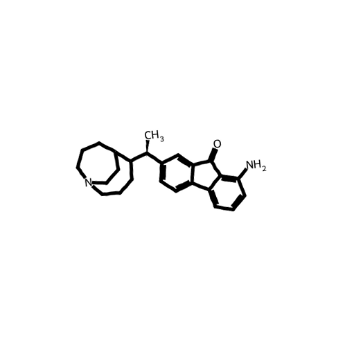 C[C@@H](c1ccc2c(c1)C(=O)c1c(N)cccc1-2)C1CCCN2CCCC1CC2